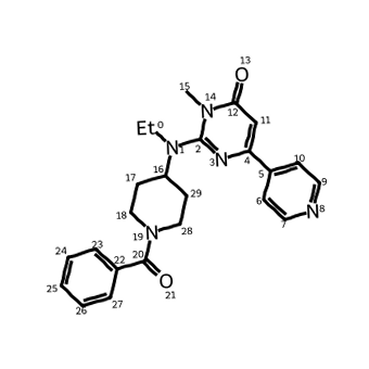 CCN(c1nc(-c2ccncc2)cc(=O)n1C)C1CCN(C(=O)c2ccccc2)CC1